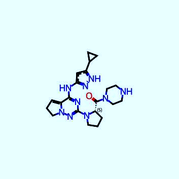 O=C([C@@H]1CCCN1C1=NN2CCC=C2C(Nc2cc(C3CC3)[nH]n2)=N1)N1CCNCC1